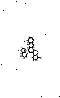 O=c1cncc2c1ccc1c3cc4ccccc4oc3ccc21.c1ccc2[nH]cnc2c1